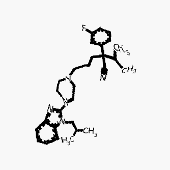 CC(C)Cn1c(N2CCN(CCCC(C#N)(c3cccc(F)c3)C(C)C)CC2)nc2ccccc21